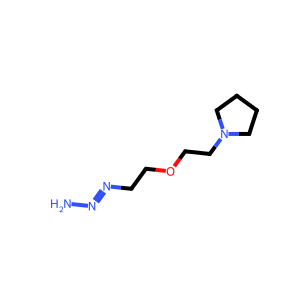 NN=NCCOCCN1CCCC1